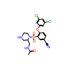 CC(=O)NCC1CNCCN1S(=O)(=O)c1cc(C#N)ccc1Oc1cc(Cl)cc(Cl)c1